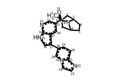 CN1CC2CCC(C1)N2C(=O)c1cnc2[nH]cc(-c3ccc4nccn4c3)c2c1